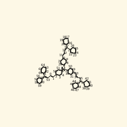 C(=Cc1ccc(N(c2ccc(C=CC=C(c3ccccc3)c3ccccc3)cc2)c2ccc(C=CCC(c3ccccc3)c3ccccc3)cc2)cc1)C=C(c1ccccc1)c1ccccc1